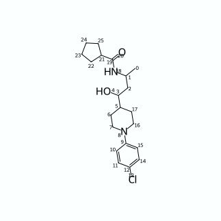 CC(CC(O)C1CCN(c2ccc(Cl)cc2)CC1)NC(=O)C1CCCC1